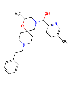 CC1CN(C(O)c2ccc(C(F)(F)F)cn2)CC2(CCN(CCc3ccccc3)CC2)O1